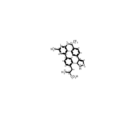 Nc1nc(O[C@@H](c2ccc(C3=CONC3)cc2)C(F)(F)F)cc(-c2ccc(C[C@H](N)C(=O)O)cc2)n1